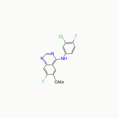 COc1cc2c(Nc3ccc(F)c(Cl)c3)ncnc2cc1F